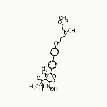 CNC(=O)C(C(=O)NO)N(C)C(=O)c1ccc(-c2ccc(OCCCN(C)CCOC)cc2)cc1